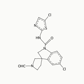 O=CN1CCC2(C1)CN(C(=O)Nc1ncc(Cl)s1)c1ccc(Cl)cc12